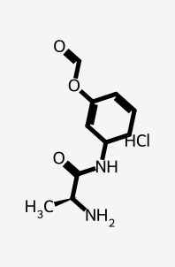 C[C@H](N)C(=O)NC1C=C(OC=O)C=CC1.Cl